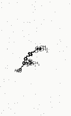 C=C(C)C(=O)OCCCc1ccc(CCc2ccc(-c3ccc(CCC(CO)CO)cc3CC)c(OC(=O)C(=C)C)c2)cc1